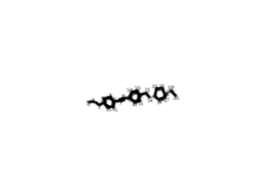 CCCc1ccc(C#Cc2ccc(CC[C@H]3CC[C@H](CC)CC3)cc2)cc1